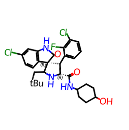 CC(C)(C)CC1N[C@@H](C(=O)NC2CCC(O)CC2)C(c2cccc(Cl)c2F)[C@]12C(=O)Nc1cc(Cl)ccc12